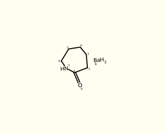 O=C1CCCCCN1.[BaH2]